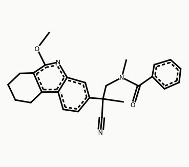 COc1nc2cc(C(C)(C#N)CN(C)C(=O)c3ccccc3)ccc2c2c1CCCC2